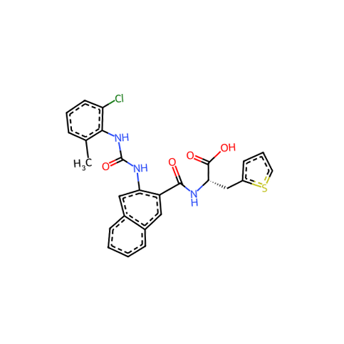 Cc1cccc(Cl)c1NC(=O)Nc1cc2ccccc2cc1C(=O)N[C@@H](Cc1cccs1)C(=O)O